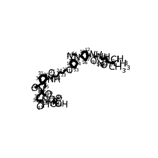 CC(C)(C)c1cc(NC(=O)Nc2ccc(-n3cnc4cc(OCCCCC(=O)Nc5cccc6c5CN(C5CCC(=O)N(COP(=O)(O)O)C5=O)C6=O)ccc43)cc2)no1